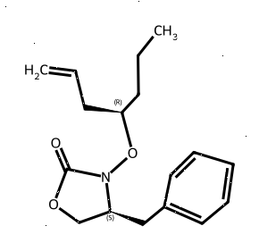 C=CC[C@@H](CCC)ON1C(=O)OC[C@@H]1Cc1ccccc1